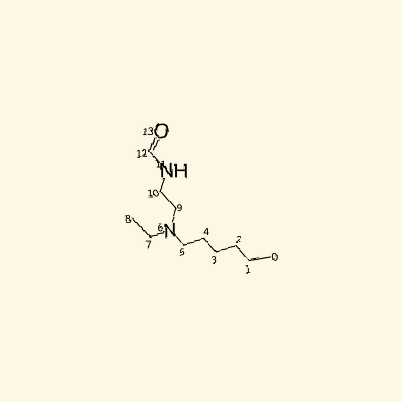 CCCCCCN(CC)CCNC=O